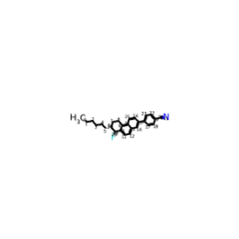 CCCCCC[C@@H]1CCc2c(ccc3cc(-c4ccc(C#N)cc4)ccc23)[C@H]1F